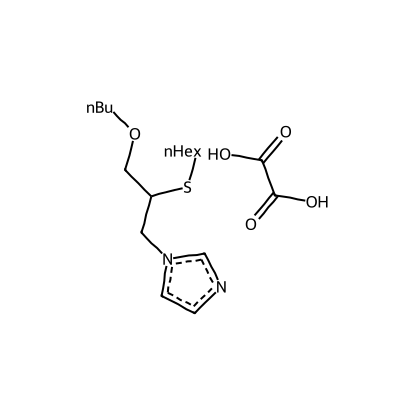 CCCCCCSC(COCCCC)Cn1ccnc1.O=C(O)C(=O)O